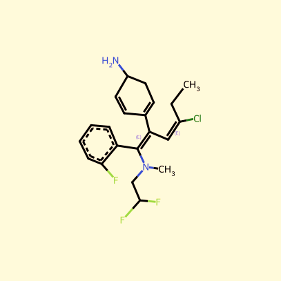 CC/C(Cl)=C\C(C1=CCC(N)C=C1)=C(\c1ccccc1F)N(C)CC(F)F